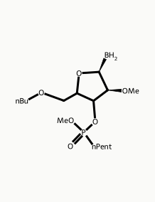 B[C@@H]1OC(COCCCC)C(OP(=O)(CCCCC)OC)[C@@H]1OC